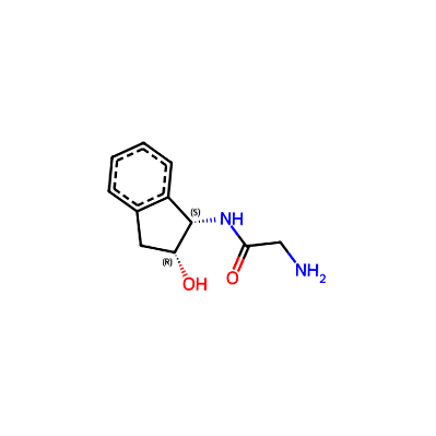 NCC(=O)N[C@H]1c2ccccc2C[C@H]1O